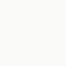 CC(C)(C)OOC(C)(C)C.CCC(C)(OO)OOC(C)(CC)OO